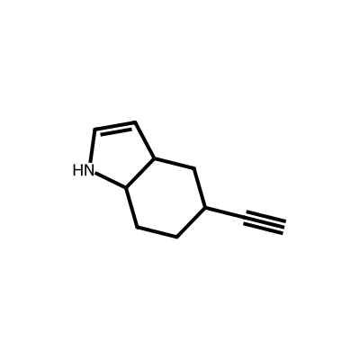 C#CC1CCC2NC=CC2C1